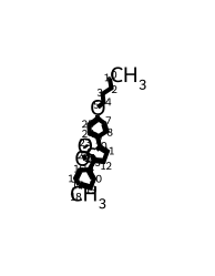 CCCCCOc1ccc(C2=CC=C(c3ccc(C)cc3)S2(=O)=O)cc1